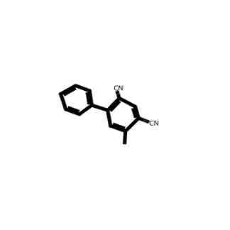 Cc1cc(-c2ccccc2)c(C#N)cc1C#N